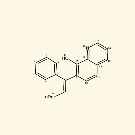 CCCCCCCCCC/C=C(\c1ccccc1)c1ccc2cccnc2c1O